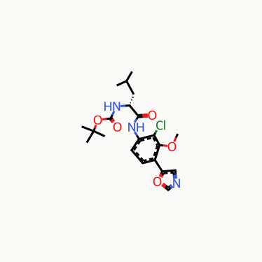 COc1c(-c2cnco2)ccc(NC(=O)[C@@H](CC(C)C)NC(=O)OC(C)(C)C)c1Cl